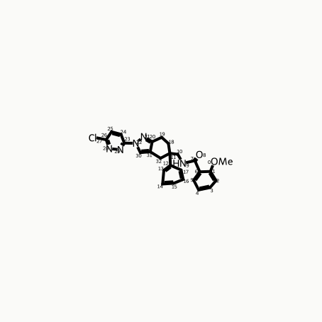 COc1ccccc1C(=O)NCC1(c2ccccc2)CCc2nn(-c3ccc(Cl)nn3)cc2C1